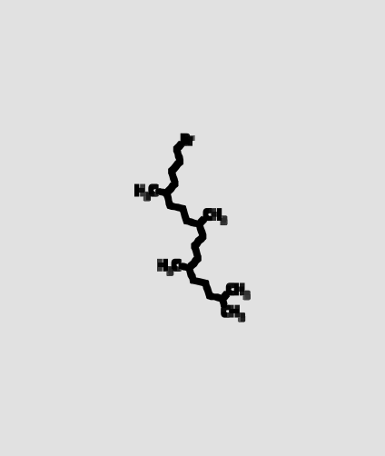 CC(C)CCCC(C)CCCC(C)CCCC(C)CCCCBr